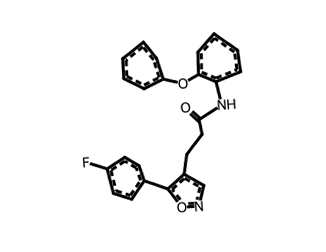 O=C(CCc1cnoc1-c1ccc(F)cc1)Nc1ccccc1Oc1ccccc1